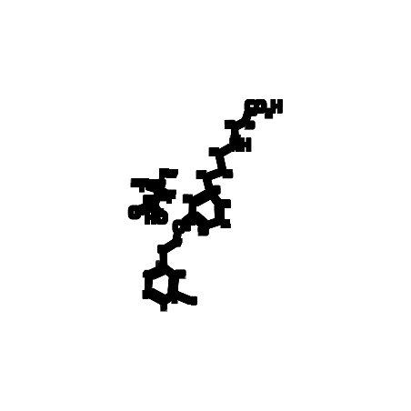 Cc1cccc(CCOc2cccc(CCCNCCC(=O)O)c2)c1.O=C(O)C(F)(F)F